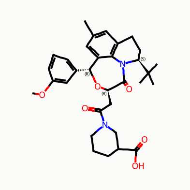 COc1cccc([C@H]2O[C@H](CC(=O)N3CCCC(C(=O)O)C3)C(=O)N3c4c(cc(C)cc42)CC[C@H]3C(C)(C)C)c1